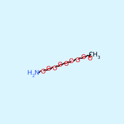 CC(=O)CCOCCOCCOCCOCCOCCOCCOCCOCCN